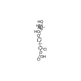 CC1=C(CO)NN(C)N1CC(O)COc1ccc(C(C)(C)c2ccc(OCC(O)CCl)c(Cl)c2)cc1